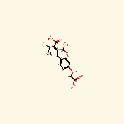 CC(C)/C(C(=O)O)=C(\Cc1ccc(OCC(=O)O)cc1)C(=O)O